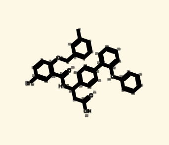 Cc1cccc(COc2ccc(Br)cc2C(=O)NC(CC(=O)O)c2ccc(-c3ccccc3Oc3ccccc3)cc2)c1